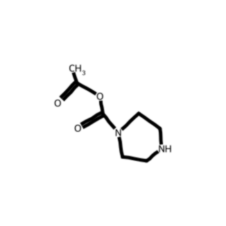 CC(=O)OC(=O)N1CCNCC1